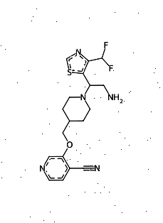 N#Cc1ccncc1OCC1CCN(C(CN)c2scnc2C(F)F)CC1